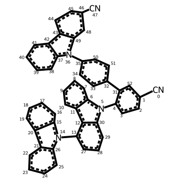 N#Cc1ccc(-n2c3ccccc3c3c(-n4c5ccccc5c5ccccc54)cccc32)c(-c2ccc(-n3c4ccccc4c4ccc(C#N)cc43)cc2)c1